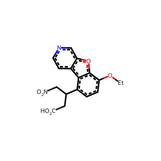 CCOc1ccc(C(CC(=O)O)C[N+](=O)[O-])c2c1oc1cnccc12